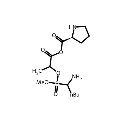 CCCCC(N)P(=O)(OC)OC(C)C(=O)OC(=O)[C@@H]1CCCN1